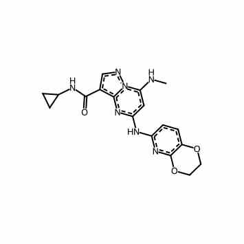 CNc1cc(Nc2ccc3c(n2)OCCO3)nc2c(C(=O)NC3CC3)cnn12